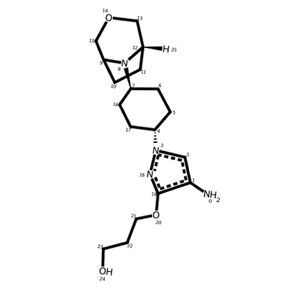 Nc1cn([C@H]2CC[C@H](N3C4CC[C@H]3COC4)CC2)nc1OCCCO